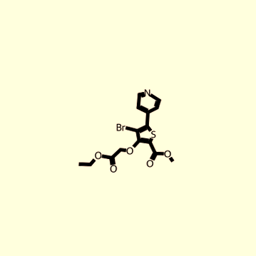 CCOC(=O)COc1c(C(=O)OC)sc(-c2ccncc2)c1Br